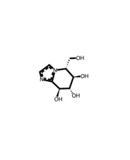 OC[C@@H]1[C@@H](O)[C@H](O)[C@@H](O)c2nccn21